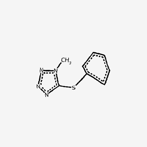 Cn1nnnc1Sc1ccccc1